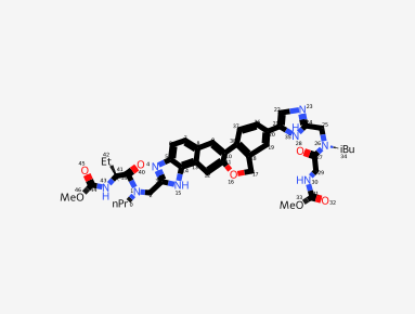 CCCN(Cc1nc2ccc3cc4c(cc3c2[nH]1)OCc1cc(-c2cnc(CN(C(=O)CNC(=O)OC)[C@@H](C)CC)[nH]2)ccc1-4)C(=O)[C@H](CC)NC(=O)OC